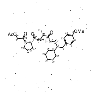 COc1ccc(CC(SNC(=O)[C@@H](C)NC(=O)[C@@H]2CSCN2C(=O)COC(C)=O)C2CCCCC2)cc1